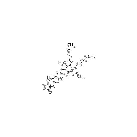 CCCCCCCC(C(C)CCCCCC)C(CCCCCCC)C(CCC)CCCCCCCCN1C(=O)C=CC1=O